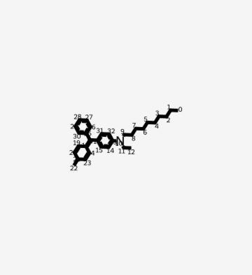 CCCCCCCCCCN(CC)c1ccc(C(=C2C=CC(C)C=C2)c2ccccc2)cc1